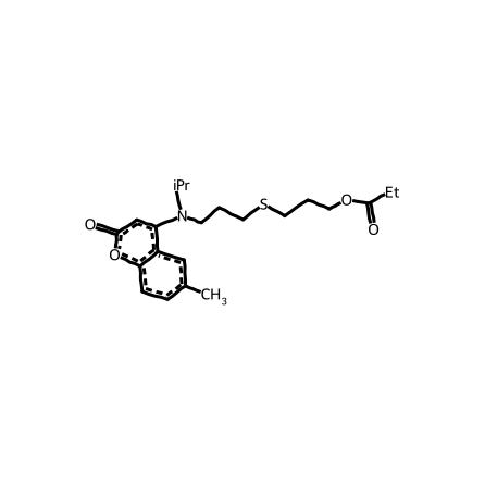 CCC(=O)OCCCSCCCN(c1cc(=O)oc2ccc(C)cc12)C(C)C